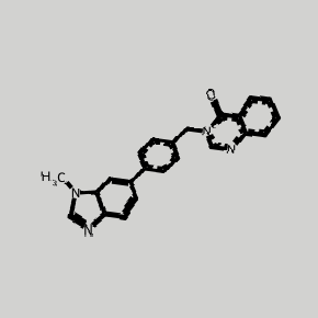 CN1C=NC2C=CC(c3ccc(Cn4cnc5ccccc5c4=O)cc3)=CC21